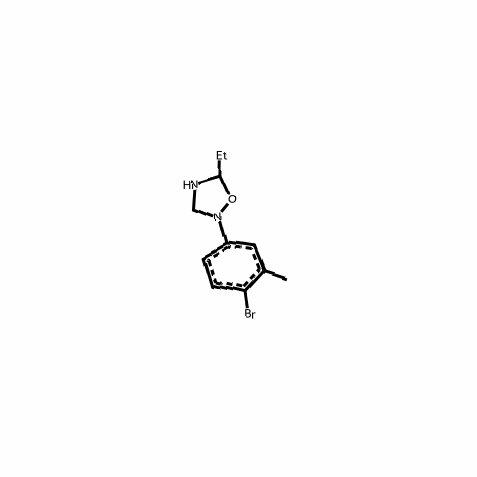 CCC1NCN(c2ccc(Br)c(C)c2)O1